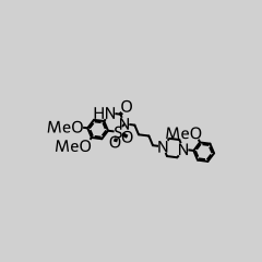 COc1cc2c(cc1OC)S(=O)(=O)N(CCCCN1CCN(c3ccccc3OC)CC1)C(=O)N2